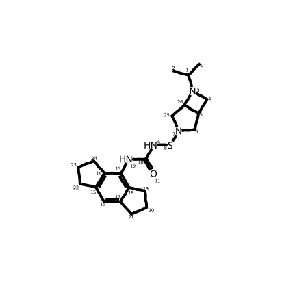 CC(C)N1CC2CN(SNC(=O)Nc3c4c(cc5c3CCC5)CCC4)CC21